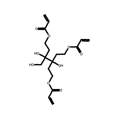 C=CC(=O)OCCC(O)(CO)C(O)(CCOC(=O)C=C)CCOC(=O)C=C